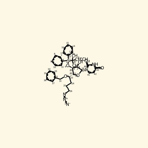 CO[C@@H]1[C@H](O[Si](c2ccccc2)(c2ccccc2)C(C)(C)C)[C@@H](C(CCCN=[N+]=[N-])OCc2ccccc2)O[C@H]1n1ccc(=O)[nH]c1=O